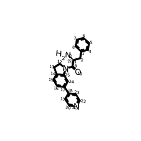 N[C@@H](Cc1ccccc1)C(=O)N1CCc2ccc(-c3ccncc3)cc21